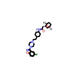 O=C(C[C@@H]1C[C@@H]2CC[C@@H]1O2)NC1CCC(CCN2CCN(c3noc4ccc(F)cc34)CC2)CC1